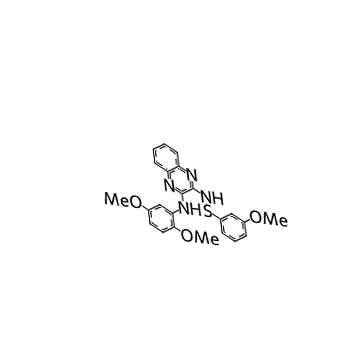 COc1cccc(SNc2nc3ccccc3nc2Nc2cc(OC)ccc2OC)c1